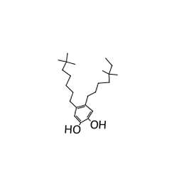 CCC(C)(C)CCCCc1cc(O)c(O)cc1CCCCCC(C)(C)C